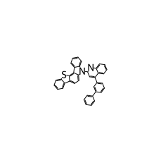 c1ccc(-c2cccc(-c3cc(-n4c5ccccc5c5c6sc7ccccc7c6ccc54)nc4ccccc34)c2)cc1